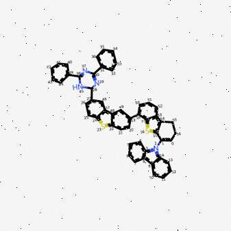 C1=C(n2c3ccccc3c3ccccc32)c2sc3c(-c4ccc5sc6ccc(C7N=C(c8ccccc8)N=C(c8ccccc8)N7)cc6c5c4)cccc3c2CC1